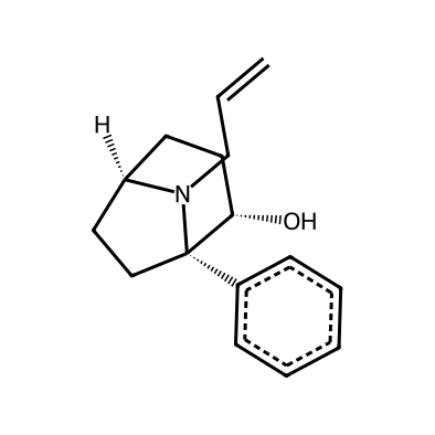 C=CCN1[C@@H]2CC[C@H](O)[C@@]1(c1ccccc1)CC2